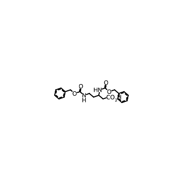 O=C(O)CC(CCNC(=O)OCc1ccccc1)NC(=O)OCc1ccccc1